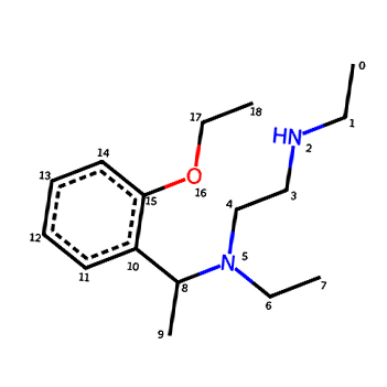 CCNCCN(CC)C(C)c1ccccc1OCC